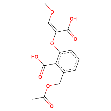 CO/C=C(/Oc1cccc(COC(C)=O)c1C(=O)O)C(=O)O